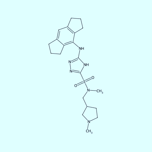 CN1CCC(CN(C)S(=O)(=O)c2nnc(Nc3c4c(cc5c3CCC5)CCC4)[nH]2)C1